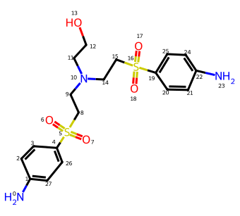 Nc1ccc(S(=O)(=O)CCN(CCO)CCS(=O)(=O)c2ccc(N)cc2)cc1